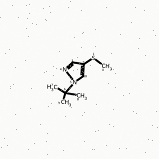 CSc1cnn(C(C)(C)C)c1